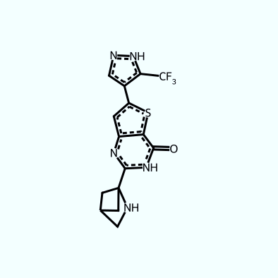 O=c1[nH]c(C23CC(CN2)C3)nc2cc(-c3cn[nH]c3C(F)(F)F)sc12